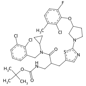 Cc1ccc(F)c(OC2CCN(c3ncc(CC(CNC(=O)OC(C)(C)C)C(=O)N(Cc4cccc(Cl)c4Cl)C4CC4)s3)C2)c1Cl